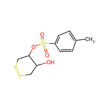 Cc1ccc(S(=O)(=O)OC2CSSCC2O)cc1